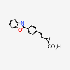 O=C(O)C1CC1C=Cc1ccc(-c2nc3ccccc3o2)cc1